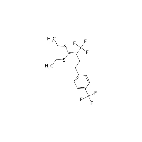 CCSC(SCC)=C(CCc1ccc(C(F)(F)F)cc1)C(F)(F)F